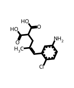 CC(=Cc1cc(N)ccc1Cl)CC(C(=O)O)C(=O)O